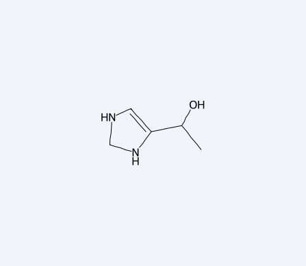 CC(O)C1=CNCN1